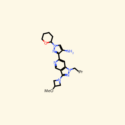 COC1CN(c2nn(CC(C)C)c3cc(-c4nn(C5CCCCO5)cc4N)ncc23)C1